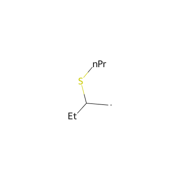 [CH2]C(CC)SCCC